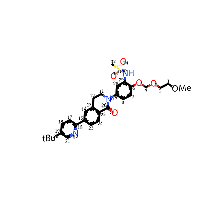 COCCOCOc1ccc(N2CCc3cc(-c4ccc(C(C)(C)C)cn4)ccc3C2=O)cc1NS(C)(=O)=O